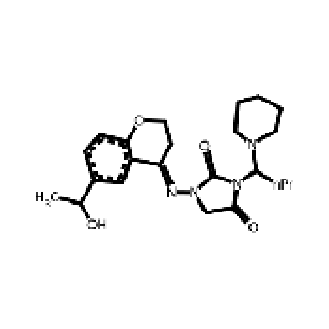 CCCC(N1CCCCC1)N1C(=O)CN(/N=C2\CCOc3ccc(C(C)O)cc32)C1=O